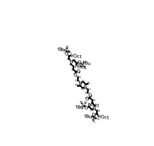 CCCCCCCCC(CN(CCCC(=O)OCCN1CC(C)N(CCOC(=O)CCCN(CC(CCCCCCCC)O[Si](C)(C)C(C)(C)C)CC(CCCCCCCC)O[Si](C)(C)C(C)(C)C)CC1C)CC(CCCCCCCC)O[Si](C)(C)C(C)(C)C)O[Si](C)(C)C(C)(C)C